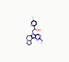 OC(Cn1c2c(c3nc(CF)ncc31)C1CCCN1CC2)c1ccc(F)cn1